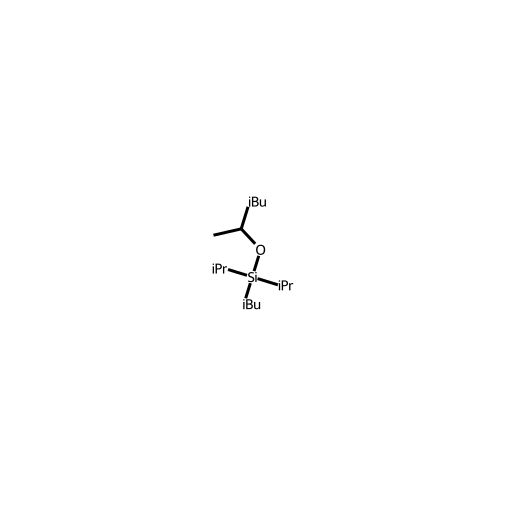 CCC(C)C(C)O[Si](C(C)C)(C(C)C)C(C)CC